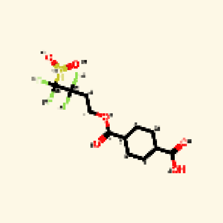 O=C(O)C1CCC(C(=O)OCCC(F)(F)C(F)(F)[SH](=O)=O)CC1